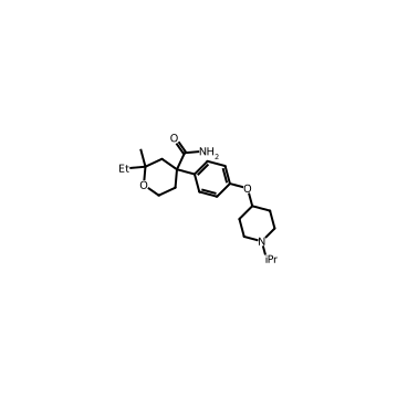 CCC1(C)CC(C(N)=O)(c2ccc(OC3CCN(C(C)C)CC3)cc2)CCO1